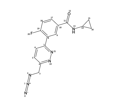 [N-]=[N+]=NCc1ccc(-c2cc(C(=O)NC3CC3)ccc2F)nn1